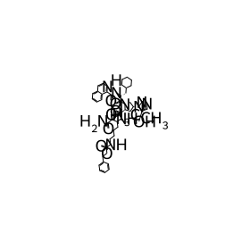 CC(C)(O)c1cnnn1[C@H]1C[C@@H](C(=O)NC(CCCCNC(=O)OCc2ccccc2)C(=O)C(N)=O)N(C(=O)[C@@H](CC2CCCCC2)NC(=O)c2nccc3ccccc23)C1